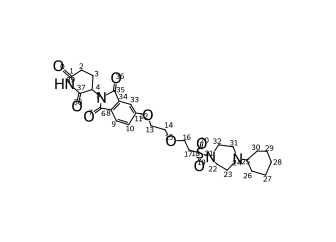 O=C1CCC(N2C(=O)c3ccc(OCCOCCS(=O)(=O)N4CCN(C5CCCCC5)CC4)cc3C2=O)C(=O)N1